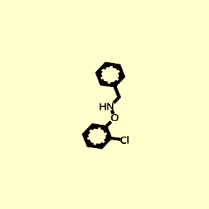 Clc1ccccc1ONCc1ccccc1